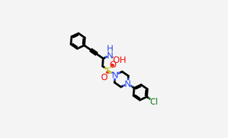 O=S(=O)(CC(C#Cc1ccccc1)NO)N1CCN(c2ccc(Cl)cc2)CC1